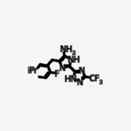 C/C=C(F)\C(=C/C(C)C)Cc1nc(-c2nc(C(F)(F)F)n[nH]2)[nH]c1N